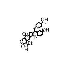 CC[C@@]1(O)C(=O)OCc2c1cc1n(c2=O)Cc2c-1nc1ccc(O)cc1c2CN1CCC([C@@H](C)O)CC1